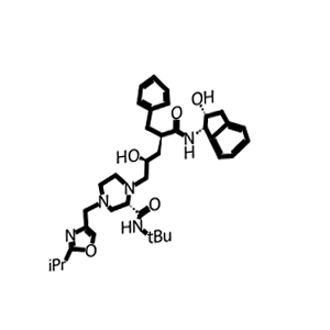 CC(C)c1nc(CN2CCN(C[C@@H](O)C[C@@H](Cc3ccccc3)C(=O)N[C@H]3c4ccccc4C[C@H]3O)[C@H](C(=O)NC(C)(C)C)C2)co1